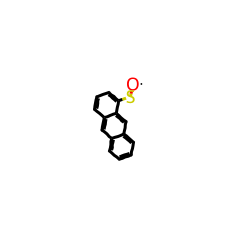 [O]Sc1cccc2cc3ccccc3cc12